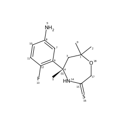 CC1(C)C[C@@](C)(c2cc(N)ccc2F)NC(=S)CO1